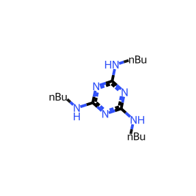 CCCCNc1nc(NCCCC)nc(NCCCC)n1